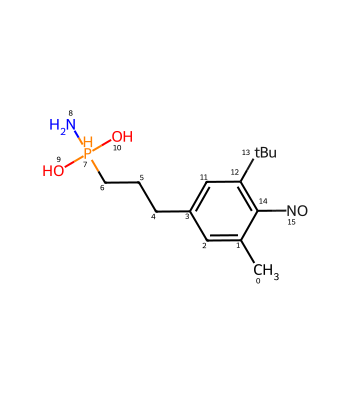 Cc1cc(CCC[PH](N)(O)O)cc(C(C)(C)C)c1N=O